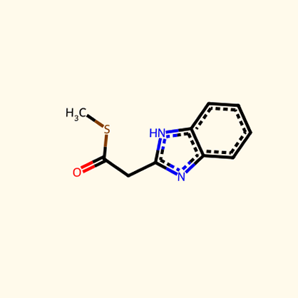 CSC(=O)Cc1nc2ccccc2[nH]1